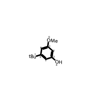 COc1cc(O)cc(C(C)(C)C)c1